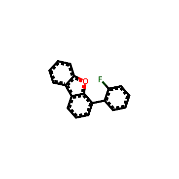 Fc1ccccc1-c1cccc2c1oc1ccccc12